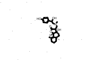 CC1=C2[C@@H]3OC(=O)C(CN(C)CC(O)c4ccc(O)cc4)C3(O)CC[C@@]2(C)CCC1